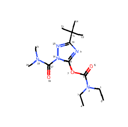 CCN(CC)C(=O)Oc1nc(C(C)(C)C)nn1C(=O)N(C)C